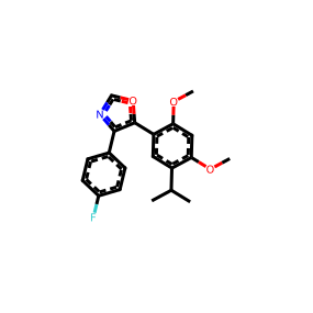 COc1cc(OC)c(C(C)C)cc1-c1ocnc1-c1ccc(F)cc1